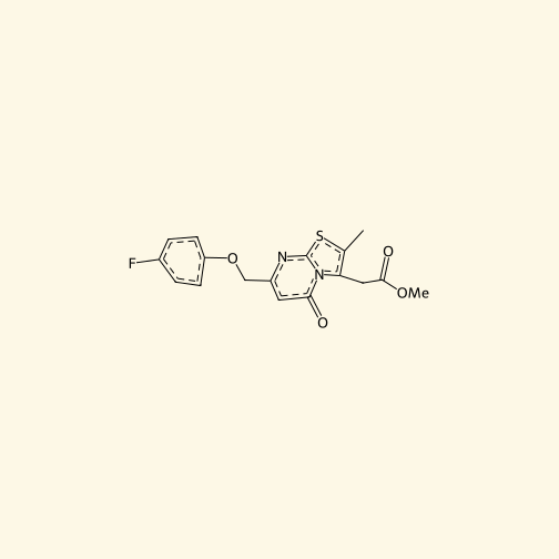 COC(=O)Cc1c(C)sc2nc(COc3ccc(F)cc3)cc(=O)n12